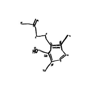 C=C(C)CCc1c(C)ccc(C)c1O